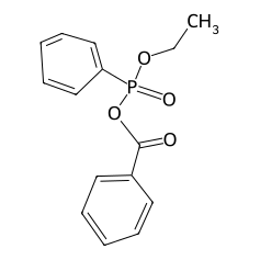 CCOP(=O)(OC(=O)c1ccccc1)c1ccccc1